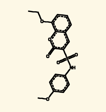 CCOc1cccc2cc(S(=O)(=O)Nc3ccc(OC)cc3)c(=O)oc12